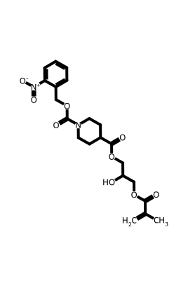 C=C(C)C(=O)OCC(O)COC(=O)C1CCN(C(=O)OCc2ccccc2[N+](=O)[O-])CC1